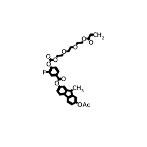 C=CC(=O)OCCOCCOCCOC(=O)Oc1ccc(C(=O)Oc2ccc3c(c2)C(C)c2cc(OC(C)=O)ccc2-3)cc1F